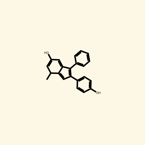 CC1C=C(O)C=C2C1=CC(c1ccc(O)cc1)=C2c1ccccc1